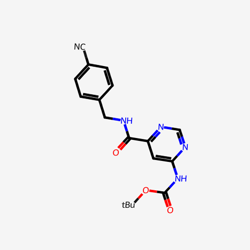 CC(C)(C)OC(=O)Nc1cc(C(=O)NCc2ccc(C#N)cc2)ncn1